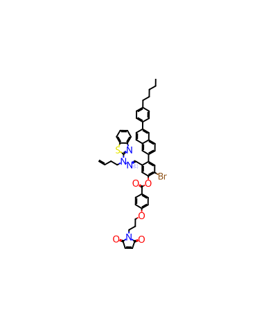 C=CCCN(/N=C/c1cc(OC(=O)c2ccc(OCCCN3C(=O)C=CC3=O)cc2)c(Br)cc1-c1ccc2cc(-c3ccc(CCCCC)cc3)ccc2c1)c1nc2ccccc2s1